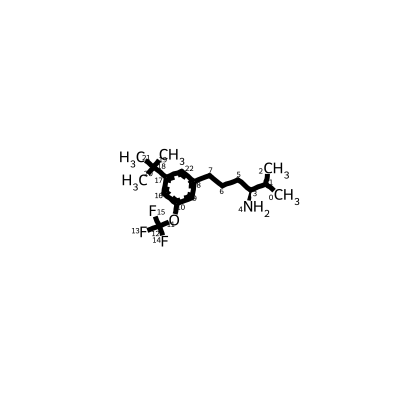 CC(C)[C@@H](N)CCCc1cc(OC(F)(F)F)cc(C(C)(C)C)c1